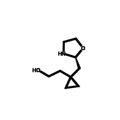 OCCC1(C[C@H]2NCCO2)CC1